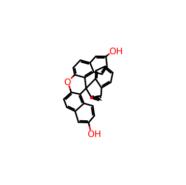 Oc1ccc2c3c(ccc2c1)Oc1ccc2cc(O)ccc2c1C31c2ccccc2-c2ccccc21